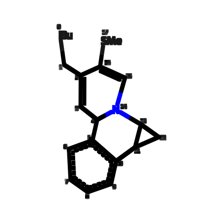 CCC(C)CC1=CC2c3ccccc3C3CC3N2C=C1SC